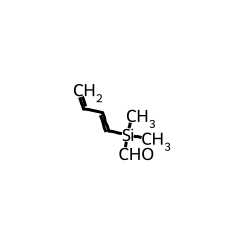 C=CC=C[Si](C)(C)C=O